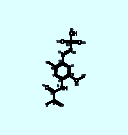 C=C(C)C(=O)Nc1cc(C)c(/N=N/S(=O)(=O)O)cc1OC